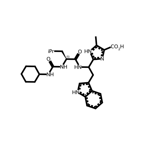 Cc1[nH]c(C(Cc2c[nH]c3ccccc23)NC(=O)[C@H](CC(C)C)NC(=O)NC2CCCCC2)nc1C(=O)O